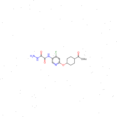 COC(=O)C1CCC(Oc2cc(F)c(NC(=O)C(=O)NN)cn2)CC1